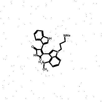 CNCCCn1cc(C2=C(c3c[nH]c4ccccc34)C(=O)NC2=O)c2c(N(C)C)cccc21